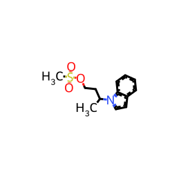 CC(CCOS(C)(=O)=O)n1ccc2ccccc21